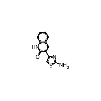 Nc1nc(-c2cc3ccccc3[nH]c2=O)cs1